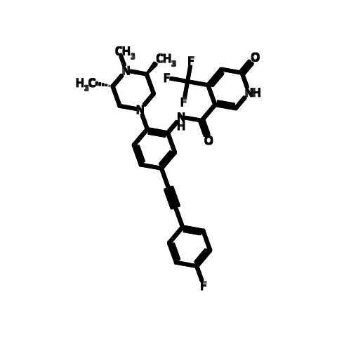 C[C@H]1CN(c2ccc(C#Cc3ccc(F)cc3)cc2NC(=O)c2c[nH]c(=O)cc2C(F)(F)F)C[C@H](C)N1C